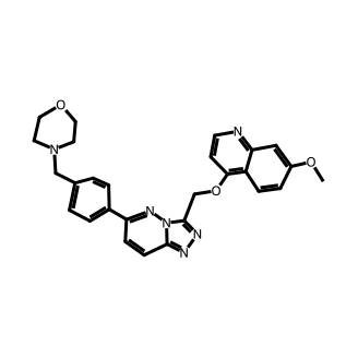 COc1ccc2c(OCc3nnc4ccc(-c5ccc(CN6CCOCC6)cc5)nn34)ccnc2c1